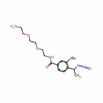 CC(N=[N+]=[N-])c1ccc(C(=O)NCCOCCOCCN)cc1C(C)(C)C